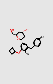 CCc1ccc(Cc2cc([C@H]3C[C@@H](O)C[C@@H](CO)O3)cc(OC3CCC3)c2C#N)cc1